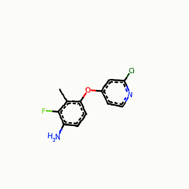 Cc1c(Oc2ccnc(Cl)c2)ccc(N)c1F